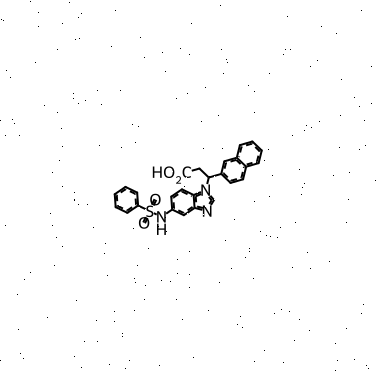 O=C(O)CC(c1ccc2ccccc2c1)n1cnc2cc(NS(=O)(=O)c3ccccc3)ccc21